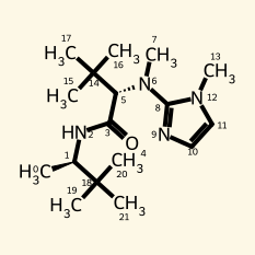 C[C@@H](NC(=O)[C@@H](N(C)c1nccn1C)C(C)(C)C)C(C)(C)C